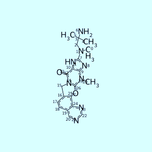 CN(CC(C)(C)N)c1nc2c([nH]1)c(=O)n(Cc1ccc3cncnc3c1)c(=O)n2C